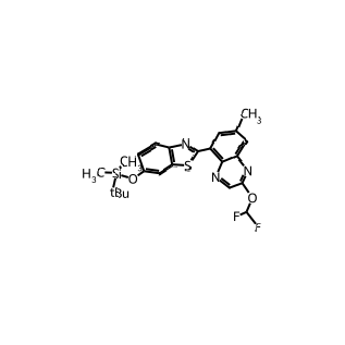 Cc1cc(-c2nc3ccc(O[Si](C)(C)C(C)(C)C)cc3s2)c2ncc(OC(F)F)nc2c1